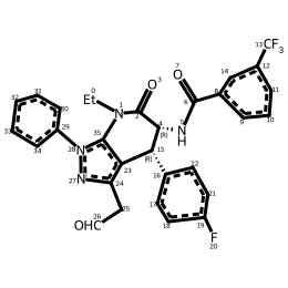 CCN1C(=O)[C@H](NC(=O)c2cccc(C(F)(F)F)c2)[C@H](c2ccc(F)cc2)c2c(CC=O)nn(-c3ccccc3)c21